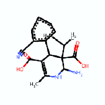 CC1=C(C(=O)O)C(c2ccccc2C#N)C(C(=O)O)(C(C)C)C(N)N1